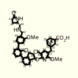 COc1cc(-c2cccc(-c3cccc4c3CC[C@@H]4Oc3nc(OC)c(CN4CC5(C(=O)O)CCC4CC5)cc3Cl)c2Cl)ccc1CNC[C@@H]1CCC(=O)N1